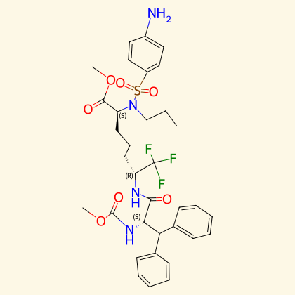 CCCN([C@@H](CCC[C@@H](NC(=O)[C@@H](NC(=O)OC)C(c1ccccc1)c1ccccc1)C(F)(F)F)C(=O)OC)S(=O)(=O)c1ccc(N)cc1